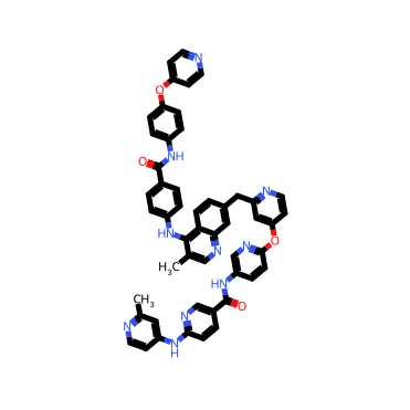 Cc1cc(Nc2ccc(C(=O)Nc3ccc(Oc4ccnc(Cc5ccc6c(Nc7ccc(C(=O)Nc8ccc(Oc9ccncc9)cc8)cc7)c(C)cnc6c5)c4)nc3)cn2)ccn1